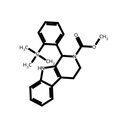 COC(=O)N1CCc2c([nH]c3ccccc23)C1c1ccccc1[Si](C)(C)C